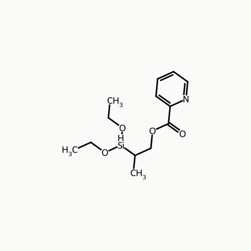 CCO[SiH](OCC)C(C)COC(=O)c1ccccn1